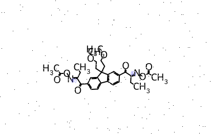 CC/C(=N\OC(C)=O)C(=O)c1ccc2c(c1)C(CCOC)(CCOC)c1cc(C(=O)/C(CC)=N/OC(C)=O)ccc1-2